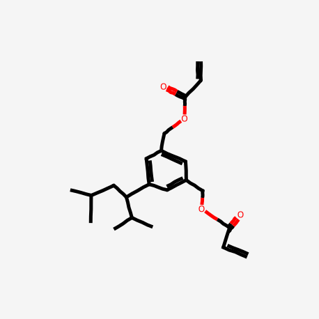 C=CC(=O)OCc1cc(COC(=O)C=C)cc(C(CC(C)C)C(C)C)c1